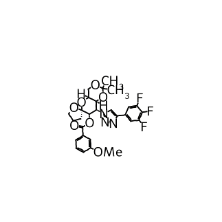 COc1cccc(C(=O)O[C@@H]2[C@H](n3cc(-c4cc(F)c(F)c(F)c4)nn3)[C@H]3OC(C)(C)OC[C@H]3O[C@@]23CCCO3)c1